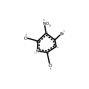 O=[N+]([O-])c1c(Br)cc(Cl)nc1Cl